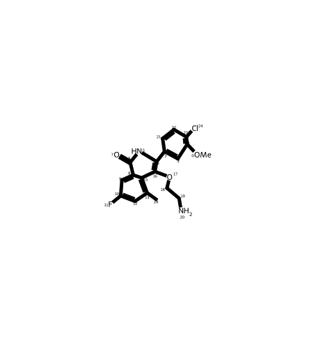 COc1cc(-c2[nH]c(=O)c3cc(F)cc(C)c3c2OCCN)ccc1Cl